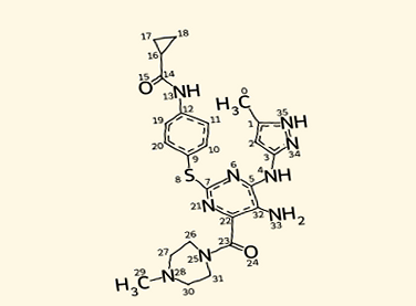 Cc1cc(Nc2nc(Sc3ccc(NC(=O)C4CC4)cc3)nc(C(=O)N3CCN(C)CC3)c2N)n[nH]1